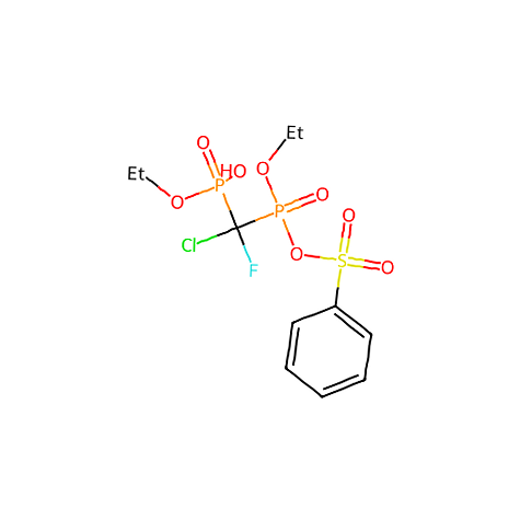 CCOP(=O)(O)C(F)(Cl)P(=O)(OCC)OS(=O)(=O)c1ccccc1